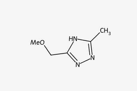 COCc1nnc(C)[nH]1